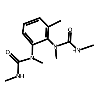 CNC(=O)N(C)c1cccc(C)c1N(C)C(=O)NC